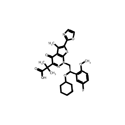 COc1ccc(F)cc1[C@H](Cn1nc(C(C)(C)C(=O)O)c(=O)c2c(C)c(-c3ncco3)sc21)OC1CCCCC1